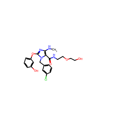 CNc1nc(Oc2cccc(O)c2)n(Cc2cccc(Cl)c2)c1C(=O)NCCOCCO